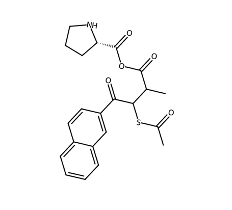 CC(=O)SC(C(=O)c1ccc2ccccc2c1)C(C)C(=O)OC(=O)[C@@H]1CCCN1